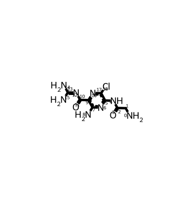 NCC(=O)Nc1nc(N)c(C(=O)N=C(N)N)nc1Cl